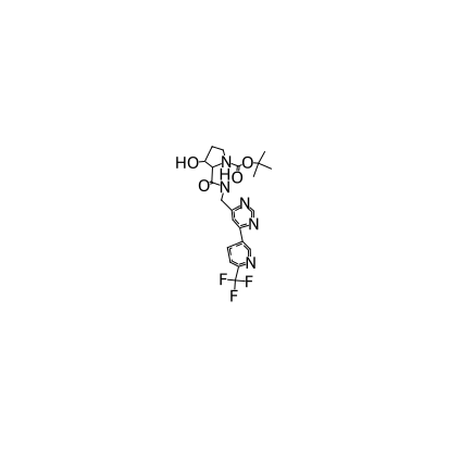 CC(C)(C)OC(=O)N1CCC(O)C1C(=O)NCc1cc(-c2ccc(C(F)(F)F)nc2)ncn1